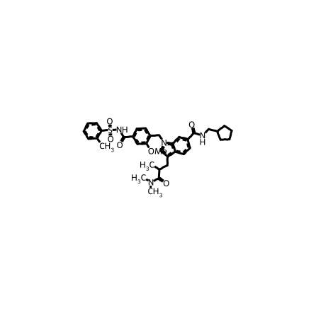 COc1cc(C(=O)NS(=O)(=O)c2ccccc2C)ccc1Cn1cc(CC(C)C(=O)N(C)C)c2ccc(C(=O)NCC3CCCC3)cc21